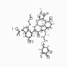 COCCn1cc(C(=O)O)c2cc(O)cc(N3CC(C)n4c(c(CCCOc5cc(C)c(Cl)c(C)c5)c5ccc(Cl)c(-c6c(C)nn(C)c6C)c54)C3=O)c21